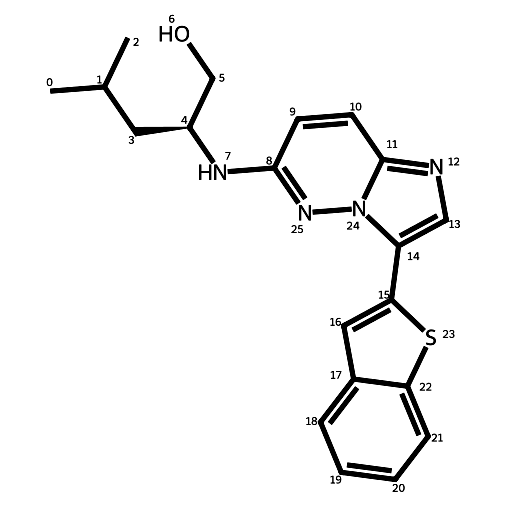 CC(C)C[C@@H](CO)Nc1ccc2ncc(-c3cc4ccccc4s3)n2n1